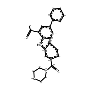 CC(=O)c1cc(-c2ccccc2)nc2c1[nH]c1cc(C(=O)N3CCOCC3)ccc12